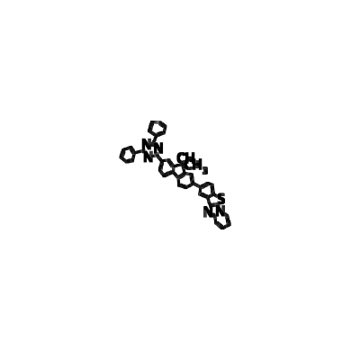 CC1(C)c2cc(-c3ccc4sc5c(nc6ccccn65)c4c3)ccc2-c2ccc(-c3nc(-c4ccccc4)nc(-c4ccccc4)n3)cc21